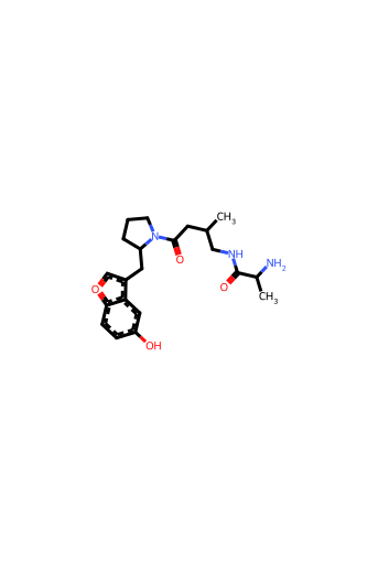 CC(CNC(=O)C(C)N)CC(=O)N1CCCC1Cc1coc2ccc(O)cc12